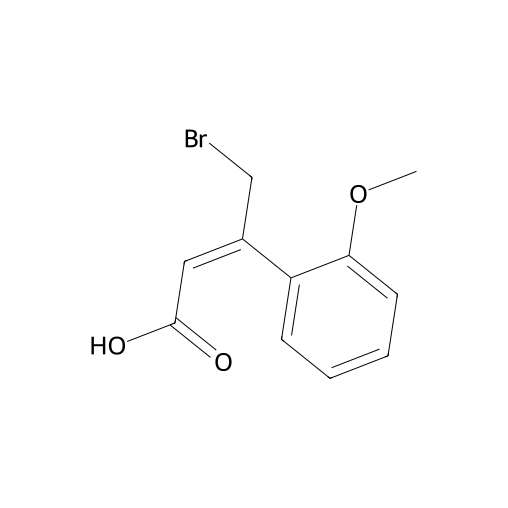 COc1ccccc1/C(=C\C(=O)O)CBr